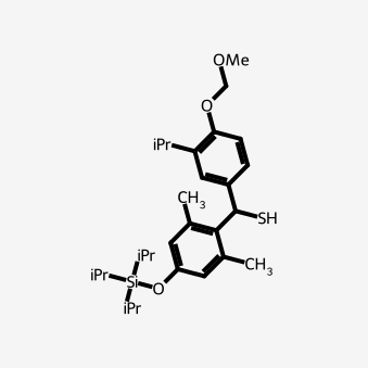 COCOc1ccc(C(S)c2c(C)cc(O[Si](C(C)C)(C(C)C)C(C)C)cc2C)cc1C(C)C